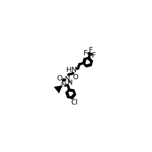 O=C(Cn1nc(-c2ccc(Cl)cc2)n(C2CC2)c1=O)NCCc1cccc(C(F)(F)F)c1